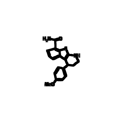 COc1ccc(C2CCNc3sc4c(C(N)=O)cccc4c32)cc1